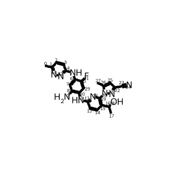 Cc1ccc(Nc2cc(N)c(Nc3ccc(C(C)O)c(-n4nc(C#N)cc4C)n3)cc2F)nn1